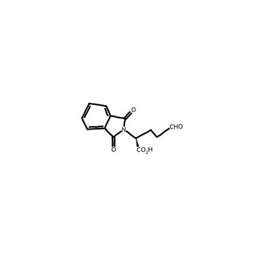 O=CCC[C@@H](C(=O)O)N1C(=O)c2ccccc2C1=O